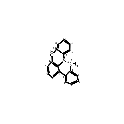 Cc1ccccc1-c1cccc2c1Sc1ccccc1O2